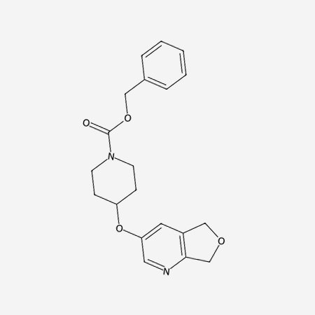 O=C(OCc1ccccc1)N1CCC(Oc2cnc3c(c2)COC3)CC1